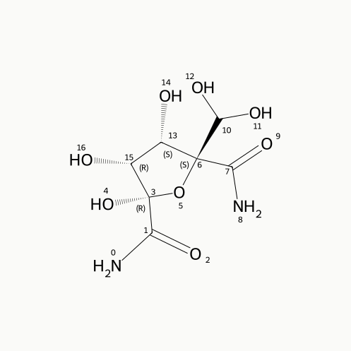 NC(=O)[C@]1(O)O[C@](C(N)=O)(C(O)O)[C@@H](O)[C@H]1O